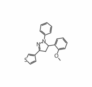 COc1ccccc1C1CC(c2ccsc2)=NN1c1ccccc1